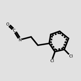 O=C=NCCc1cccc(Cl)c1Cl